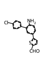 Nc1ccc(-c2ccc(C=O)s2)cc1-c1ccc(Cl)cc1